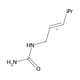 CC(C)/C=C/CNC(N)=O